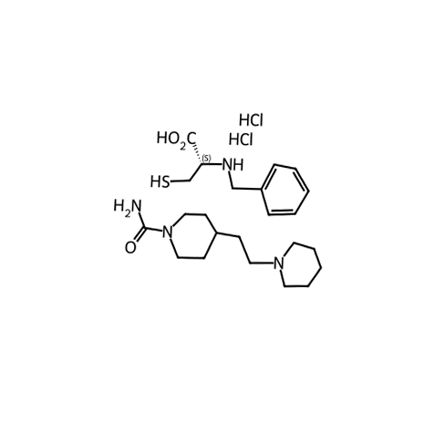 Cl.Cl.NC(=O)N1CCC(CCN2CCCCC2)CC1.O=C(O)[C@@H](CS)NCc1ccccc1